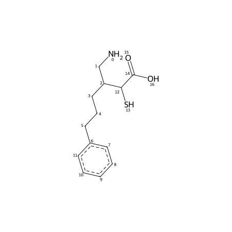 NCC(CCCc1ccccc1)C(S)C(=O)O